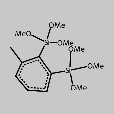 CO[Si](OC)(OC)c1cccc(C)c1[Si](OC)(OC)OC